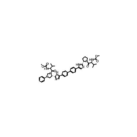 COC(=O)N[C@H](C(=O)N1CCC[C@H]1c1ncc(-c2ccc(-c3ccc(-c4cnc([C@@H]5CN(c6ccccc6)CN5C(=O)[C@@H](NC(=O)OC)C(C)C)[nH]4)cc3)cc2)[nH]1)C(C)C